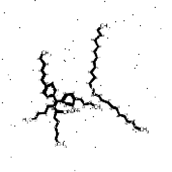 CCCCCCC(=C=[N+]=[N-])C(CCCCC)=C(c1ccc(CCCC)cc1)c1ccc(CCCCCC)cc1.CCCCCCCCCCC[CH2][Ni][CH2]CCCCCCCCCCC